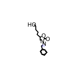 O=C1OC(CCCCO)CN1/N=C/c1ccccc1